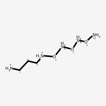 NCCC[SiH2]O[SiH2]O[SiH2]O[SiH3]